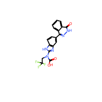 O=C(O)N(CC(F)(F)F)c1nc2cc(-c3n[nH]c(=O)c4ccccc34)ccc2[nH]1